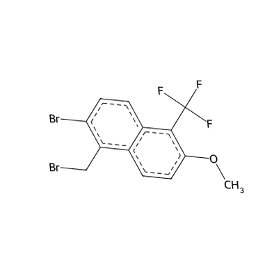 COc1ccc2c(CBr)c(Br)ccc2c1C(F)(F)F